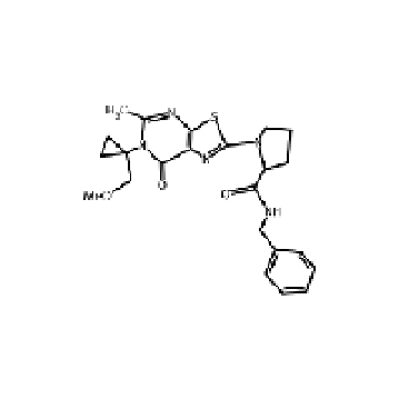 COCC1(n2c(C)nc3sc(N4CCCC4C(=O)NCc4ccccc4)nc3c2=O)CC1